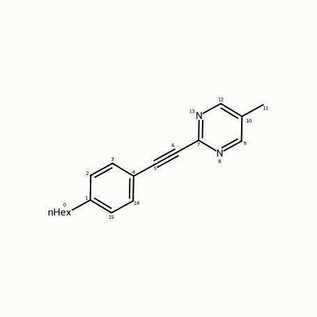 CCCCCCc1ccc(C#Cc2ncc(C)cn2)cc1